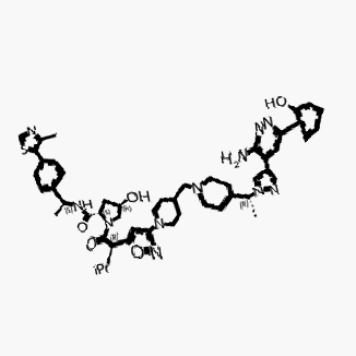 Cc1ncsc1-c1ccc([C@H](C)NC(=O)[C@@H]2C[C@@H](O)CN2C(=O)[C@@H](c2cc(N3CCC(CN4CCC([C@@H](C)n5cc(-c6cc(-c7ccccc7O)nnc6N)cn5)CC4)CC3)no2)C(C)C)cc1